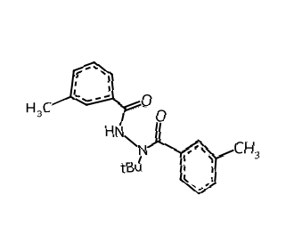 Cc1cccc(C(=O)NN(C(=O)c2cccc(C)c2)C(C)(C)C)c1